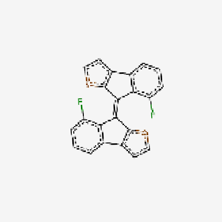 Fc1cccc2c1C(=C1c3sccc3-c3cccc(F)c31)c1sccc1-2